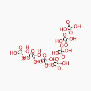 [O]=[Cr](=[O])([OH])[OH].[O]=[Cr](=[O])([OH])[OH].[O]=[Cr](=[O])([OH])[OH].[O]=[Cr](=[O])([OH])[OH].[O]=[Cr](=[O])([OH])[OH].[O]=[Cr](=[O])([OH])[OH].[O]=[Cr](=[O])([OH])[OH]